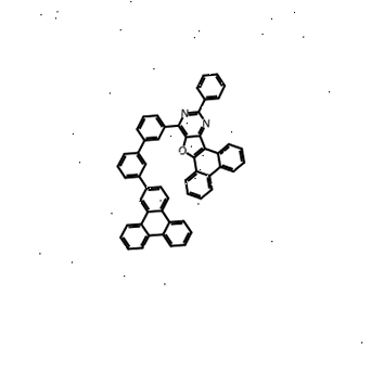 c1ccc(-c2nc(-c3cccc(-c4cccc(-c5ccc6c7ccccc7c7ccccc7c6c5)c4)c3)c3oc4c5ccccc5c5ccccc5c4c3n2)cc1